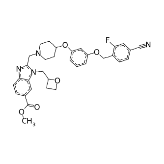 COC(=O)c1ccc2nc(CN3CCC(Oc4cccc(OCc5ccc(C#N)cc5F)c4)CC3)n(CC3CCO3)c2c1